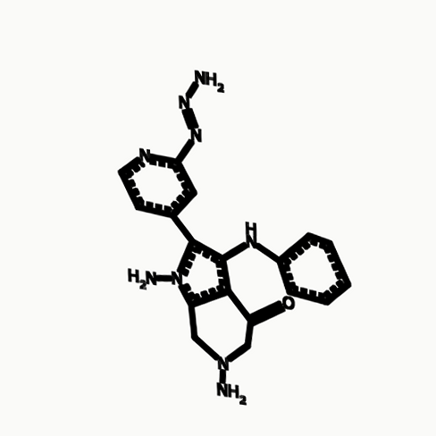 NN=Nc1cc(-c2c(Nc3ccccc3)c3c(n2N)CN(N)CC3=O)ccn1